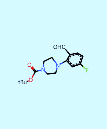 CC(C)(C)OC(=O)N1CCN(c2cc(F)ccc2C=O)CC1